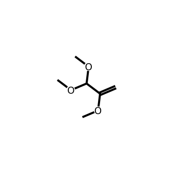 C=C(OC)C(OC)OC